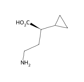 NCC[C@@H](C(=O)O)C1CC1